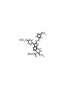 COC(=O)N1c2ccc3c(nc(CCc4cnn(C)c4)n3C3CCC(C(=O)O)CC3)c2CC[C@@H]1C